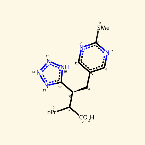 CCCC(C(=O)O)[C@H](Cc1cnc(SC)nc1)c1nnn[nH]1